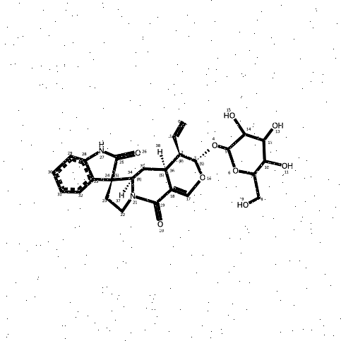 C=C[C@H]1[C@H](OC2OC(CO)C(O)C(O)C2O)OC=C2C(=O)N3CC[C@@]4(C(=O)Nc5ccccc54)[C@H]3C[C@H]21